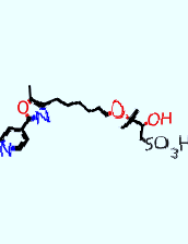 Cc1oc(-c2ccncc2)nc1CCCCCCOC(C)(C)C(O)CS(=O)(=O)O